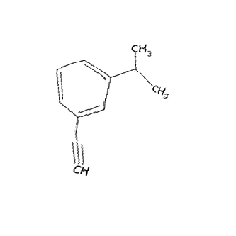 C#Cc1cccc([C](C)C)c1